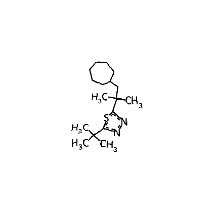 CC(C)(C)c1nnc(C(C)(C)CC2CCCCCC2)s1